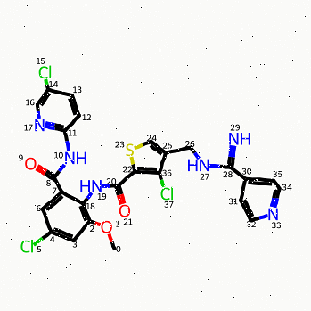 COc1cc(Cl)cc(C(=O)Nc2ccc(Cl)cn2)c1NC(=O)c1scc(CNC(=N)c2ccncc2)c1Cl